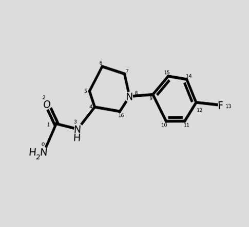 NC(=O)NC1CCCN(c2ccc(F)cc2)C1